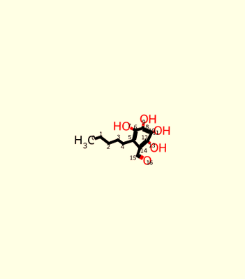 CCCCCc1c(O)c(O)c(O)c(O)c1C=O